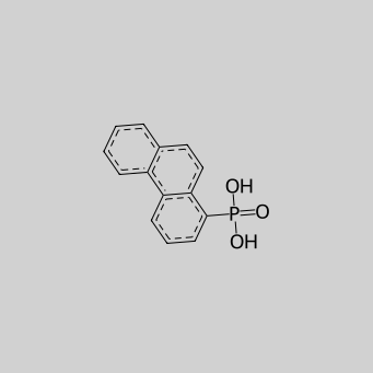 O=P(O)(O)c1cccc2c1ccc1ccccc12